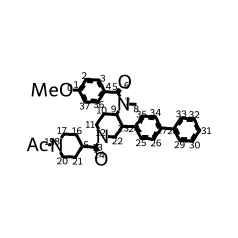 COc1ccc(C(=O)N(C)C2CCN(C(=O)C3CCN(C(C)=O)CC3)CC2c2ccc(-c3ccccc3)cc2)cc1